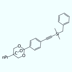 CCCC12COC(c3ccc(C#C[Si](C)(C)Cc4ccccc4)cc3)(OC1)OC2